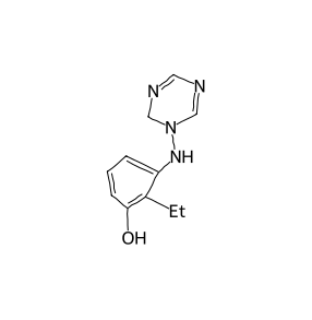 CCc1c(O)cccc1NN1C=NC=NC1